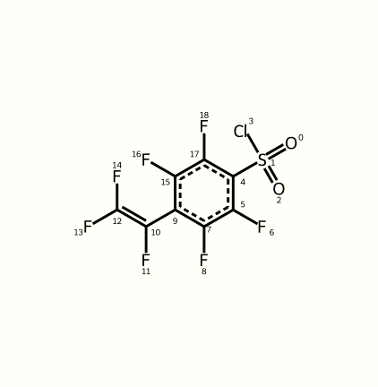 O=S(=O)(Cl)c1c(F)c(F)c(C(F)=C(F)F)c(F)c1F